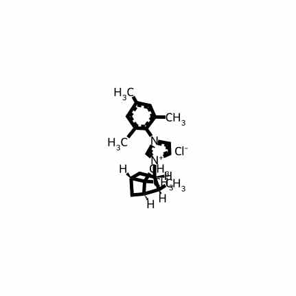 Cc1cc(C)c(-n2cc[n+]([C@H]3C[C@H]4C[C@H]([C@@H]3C)C4(C)C)c2)c(C)c1.[Cl-]